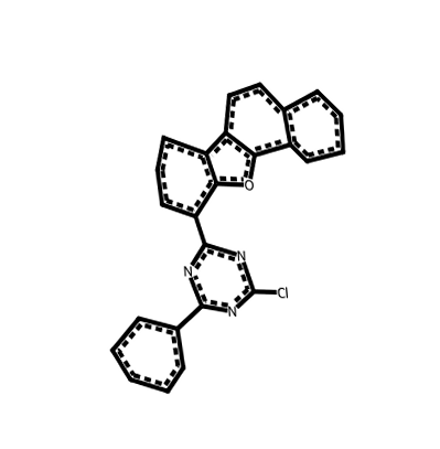 Clc1nc(-c2ccccc2)nc(-c2cccc3c2oc2c4ccccc4ccc32)n1